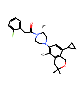 CC(C)[C@@H]1CN(c2cc(C3CC3)c3c(c2C#N)CC(C)(C)OC3)CCN1C(=O)Cc1ccccc1F